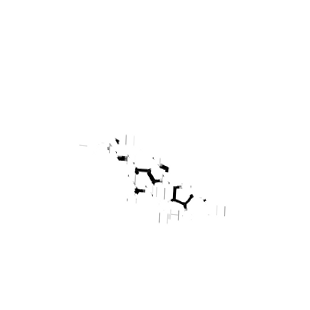 CN(C)/C=N/c1nc(=O)[nH]c2c1ncn2[C@@H]1O[C@H](CO)C(O)C1O